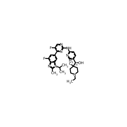 CCN1CCC(C)([C@H](O)c2ccc(Nc3ncc(F)c(-c4cc(F)c5nc(C)n(C(C)C)c5c4)n3)nc2)CC1